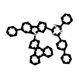 c1ccc(-c2ccc(-c3nc(-c4ccccc4)nc(-c4ccc5c6ccc(-c7ccccc7)cc6n(-c6ccc7c8ccccc8c8ccccc8c7c6)c5c4)n3)cc2)cc1